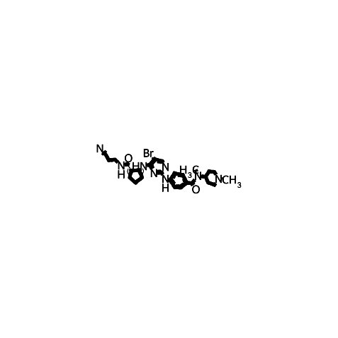 CN1CCC(N(C)C(=O)c2ccc(Nc3ncc(Br)c(N[C@@H]4CCC[C@@H]4C(=O)NCCC#N)n3)cc2)CC1